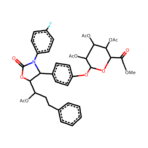 COC(=O)C1OC(Oc2ccc(C3C(C(CCc4ccccc4)OC(C)=O)OC(=O)N3c3ccc(F)cc3)cc2)C(OC(C)=O)C(OC(C)=O)C1OC(C)=O